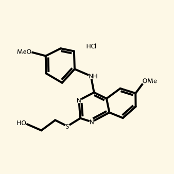 COc1ccc(Nc2nc(SCCO)nc3ccc(OC)cc23)cc1.Cl